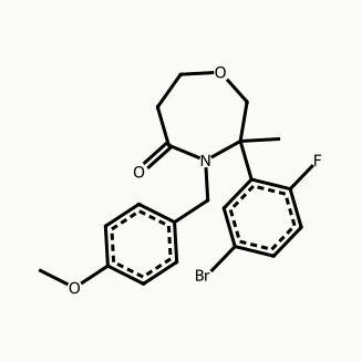 COc1ccc(CN2C(=O)CCOCC2(C)c2cc(Br)ccc2F)cc1